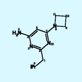 CC(C)Cc1nc(N)cc(N2C[CH]C2)n1